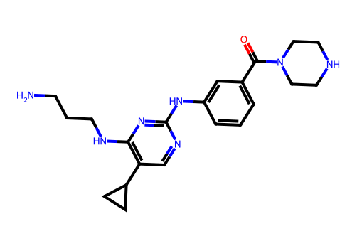 NCCCNc1nc(Nc2cccc(C(=O)N3CCNCC3)c2)ncc1C1CC1